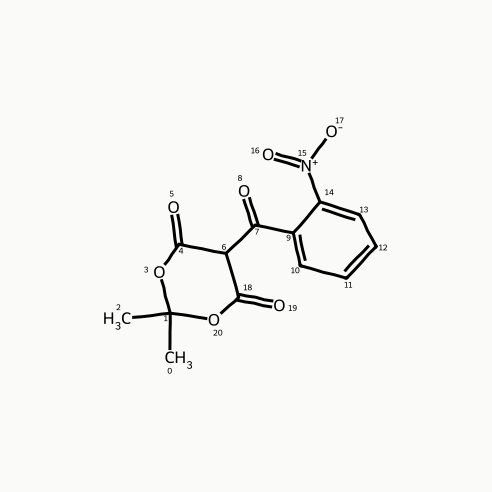 CC1(C)OC(=O)C(C(=O)c2ccccc2[N+](=O)[O-])C(=O)O1